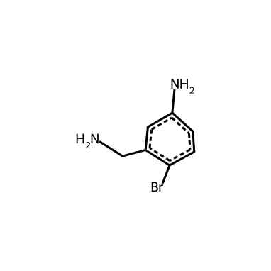 NCc1cc(N)ccc1Br